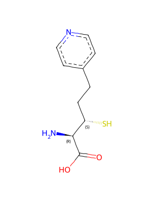 N[C@H](C(=O)O)[C@@H](S)CCc1ccncc1